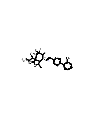 COC(C(N)=O)C12CC(F)(F)C(C)[C@H](/C=C/c3ccc(-c4ccccc4C#N)cn3)C1C(C)OC2=O